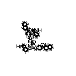 O=C(O[C@H](COc1cccc2[nH]ccc12)CN1CCC(O)(c2ccc3ccccc3c2)CC1)C(=O)O[C@H](COc1cccc2[nH]ccc12)CN1CCC(O)(c2ccc3ccccc3c2)CC1